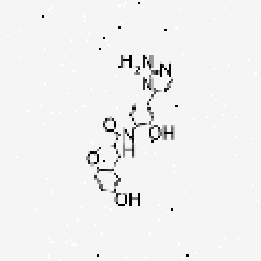 Nc1nccc(-c2ccc(NC(=O)C3COc4ccc(O)cc4C3)c(O)c2)n1